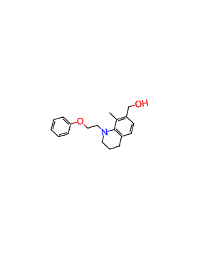 Cc1c(CO)ccc2c1N(CCOc1ccccc1)CCC2